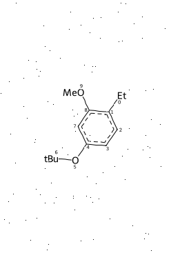 CCc1ccc(OC(C)(C)C)cc1OC